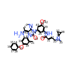 C/N=C1\C(=C(/C)N)N(c2ccc(Oc3ccccc3)cc2C)C(=O)N1c1cc(NC(=O)/C=C/CN(C)C2CC2)cc(OC)c1